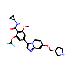 COc1cc(-c2cnc3cc(OC[C@H]4CCNC4)ccn23)cc(OC(F)F)c1C(=O)NC1CC1